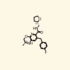 C[C@H]1COc2nc(C(=O)NC[C@@H]3CCCO3)c(Cc3ccc(F)cc3)cc2N1